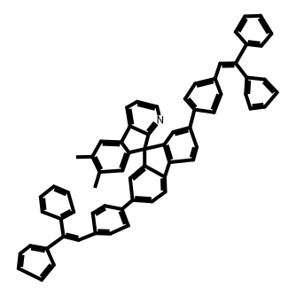 Cc1cc2c(cc1C)C1(c3cc(-c4ccc(C=C(c5ccccc5)c5ccccc5)cc4)ccc3-c3ccc(-c4ccc(C=C(c5ccccc5)c5ccccc5)cc4)cc31)c1ncccc1-2